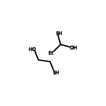 CCC(O)S.OCCS